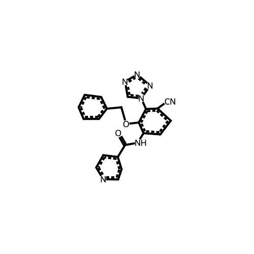 N#Cc1ccc(NC(=O)c2ccncc2)c(OCc2ccccc2)c1-n1cnnn1